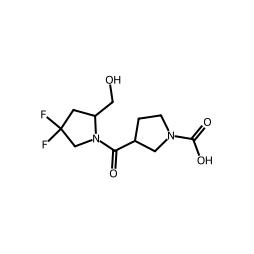 O=C(O)N1CCC(C(=O)N2CC(F)(F)CC2CO)C1